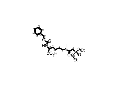 CCOP(=O)(CC(=O)NCCCCC(NC(=O)OCc1ccccc1)C(=O)O)OCC